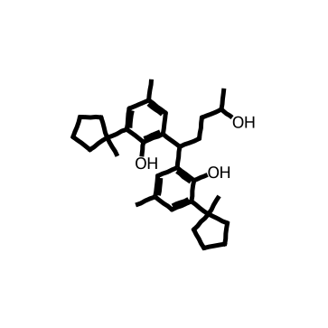 Cc1cc(C(CCC(C)O)c2cc(C)cc(C3(C)CCCC3)c2O)c(O)c(C2(C)CCCC2)c1